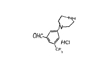 Cl.O=Cc1cc(N2CCNCC2)cc(C(F)(F)F)c1